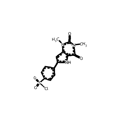 Cn1c(=O)c2[nH]c(-c3ccc(S(=O)(=O)Cl)cc3)cc2n(C)c1=O